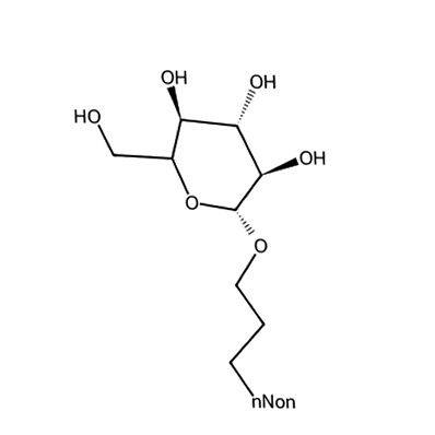 CCCCCCCCCCCCO[C@@H]1OC(CO)[C@@H](O)[C@H](O)[C@H]1O